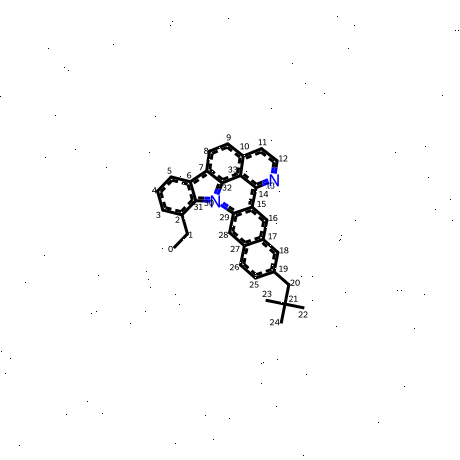 CCc1cccc2c3ccc4ccnc5c6cc7cc(CC(C)(C)C)ccc7cc6n(c12)c3c45